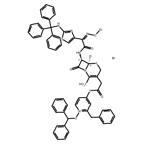 CCO/N=C(\C(=O)N[C@@H]1C(=O)N2C(C(=O)O)=C(CC(=O)Sc3cc[n+](OC(c4ccccc4)c4ccccc4)c(Cc4ccccc4)c3)CS[C@H]12)c1csc(NC(c2ccccc2)(c2ccccc2)c2ccccc2)n1.[Br-]